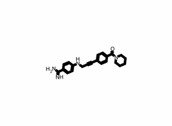 N=C(N)c1ccc(NCC#Cc2ccc(C(=O)N3CCCCC3)cc2)cc1